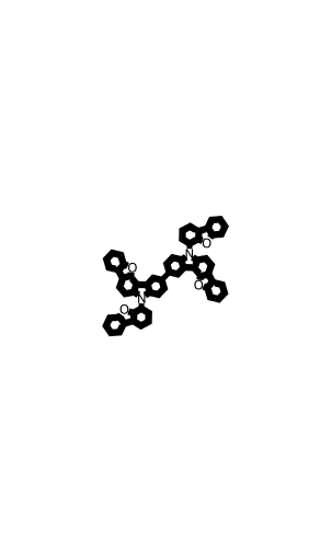 c1ccc2c(c1)oc1c(-n3c4ccc(-c5ccc6c(c5)c5c7oc8ccccc8c7ccc5n6-c5cccc6c5oc5ccccc56)cc4c4c5oc6ccccc6c5ccc43)cccc12